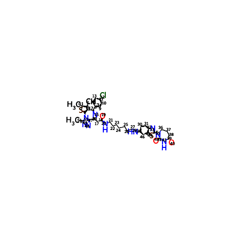 Cc1sc2c(c1C)C(c1ccc(Cl)cc1)=N[C@@H](CC(=O)NCCCCCCCNc1ccc3nc(N4CCCC(=O)NC4=O)sc3c1)c1nnc(C)n1-2